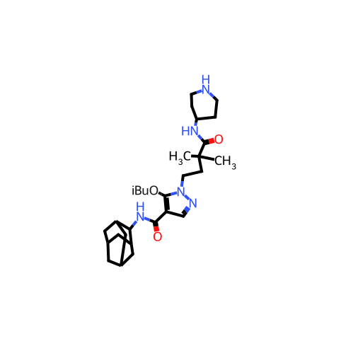 CC(C)COc1c(C(=O)NC2C3CC4CC(C3)CC2C4)cnn1CCC(C)(C)C(=O)NC1CCNCC1